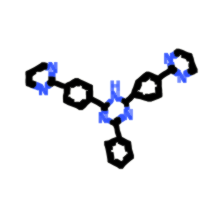 c1ccc(C2=NC(c3ccc(-c4ncccn4)cc3)NC(c3ccc(-c4ncccn4)cc3)=N2)cc1